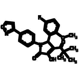 COc1ccc(F)cc1C1C(C(=O)C(C)(C)C)=C(O)C(=O)N1c1ccc(-c2ccon2)cc1